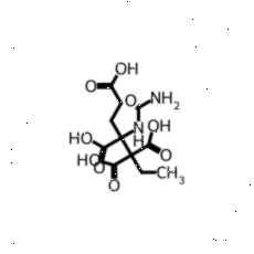 CCC(C(=O)O)(C(=O)O)C(CCC(=O)O)(NC(N)=O)C(=O)O